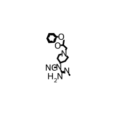 CN=C(N)N(C#N)C1CCN(CC2COc3ccccc3O2)CC1